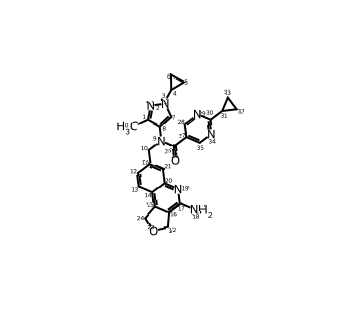 Cc1nn(C2CC2)cc1N(Cc1ccc2c3c(c(N)nc2c1)COC3)C(=O)c1cnc(C2CC2)nc1